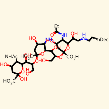 CCCCCCCCCCCCNCC(O)C1OC(OC(CO)C(O)C2OC(OC(CO)C(O)C3OC(O)(C(=O)O)CC(O)C3NC(C)=O)(C(=O)O)CC(O)C2N)(C(=O)O)CC(O)C1NC(=O)CC